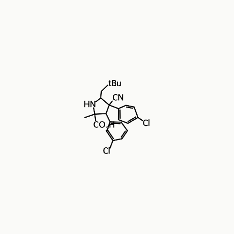 CC(C)(C)CC1NC(C)(C(=O)O)C(c2cccc(Cl)c2)C1(C#N)c1ccc(Cl)cc1